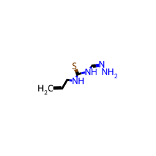 C=CCNC(=S)N/C=N\N